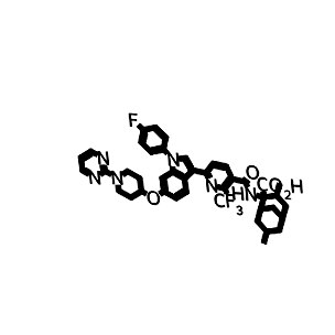 CC1CC2CC(C)C(NC(=O)c3ccc(-c4cn(-c5ccc(F)cc5)c5cc(OC6CCN(c7ncccn7)CC6)ccc45)nc3C(F)(F)F)(C(=O)O)C(C1)C2